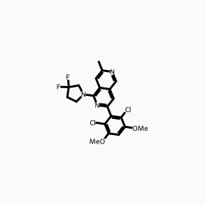 COc1cc(OC)c(Cl)c(-c2cc3cnc(C)cc3c(N3CCC(F)(F)C3)n2)c1Cl